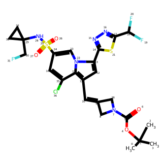 CC(C)(C)OC(=O)N1CC(=Cc2cc(-c3nnc(C(F)F)s3)n3cc(S(=O)(=O)NC4(CF)CC4)cc(Cl)c23)C1